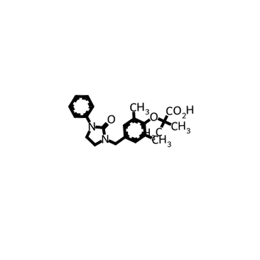 Cc1cc(CN2CCN(c3ccccc3)C2=O)cc(C)c1OC(C)(C)C(=O)O